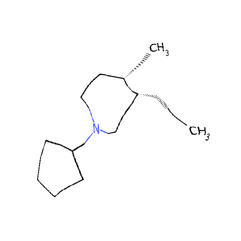 CC[C@@H]1CN(C2CCCC2)CC[C@@H]1C